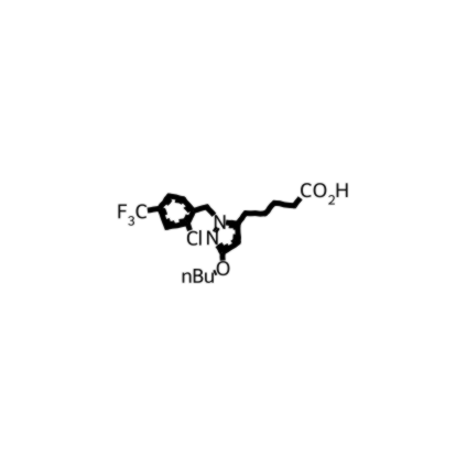 CCCCOc1cc(CCCCC(=O)O)n(Cc2ccc(C(F)(F)F)cc2Cl)n1